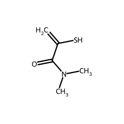 C=C(S)C(=O)N(C)C